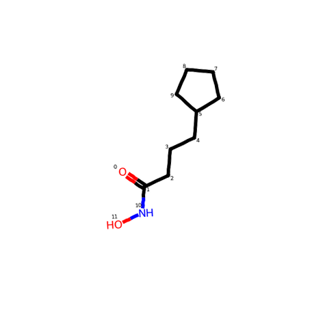 O=C(CCCC1CCCC1)NO